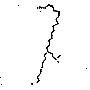 CCCCC/C=C\C/C=C\CCCCCCCCCC(CCCCCCCCC=O)CCN(C)C